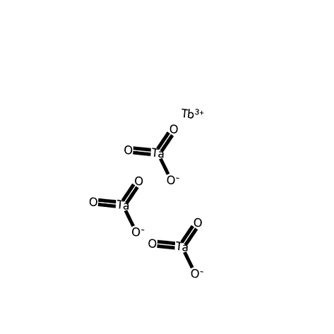 [O]=[Ta](=[O])[O-].[O]=[Ta](=[O])[O-].[O]=[Ta](=[O])[O-].[Tb+3]